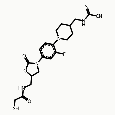 N#CC(=S)NCC1CCN(c2ccc(N3CC(CNC(=O)CS)OC3=O)cc2F)CC1